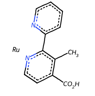 Cc1c(C(=O)O)ccnc1-c1ccccn1.[Ru]